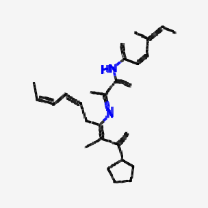 C=C(/C=C\C(C)=C/C)NC(=C)/C(C)=N/C(C/C=C\C=C/C)=C(/C)C(=C)C1CCCC1